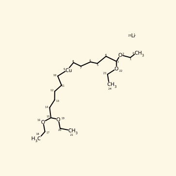 CCOC(CCCC[CH2][Cu][CH2]CCCCC(OCC)OCC)OCC.[Li]